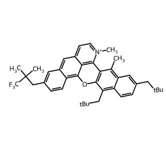 Cc1c2c(c(CC(C)(C)C)c3ccc(CC(C)(C)C)cc13)Oc1c3ccc(CC(C)(C)C(F)(F)F)cc3cc3cc[n+](C)c-2c13